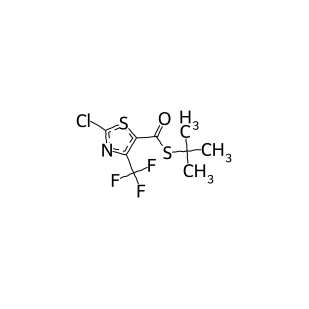 CC(C)(C)SC(=O)c1sc(Cl)nc1C(F)(F)F